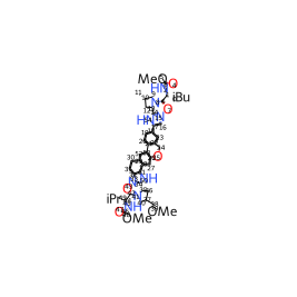 CC[C@H](C)C(NC(=O)OC)C(=O)N1C[C@@H](C)CC1c1ncc(-c2ccc3c(c2)COc2cc4c(ccc5nc([C@@H]6CC(COC)CN6C(=O)[C@@H](NC(=O)OC)C(C)C)[nH]c54)cc2-3)[nH]1